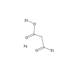 CCOC(=O)CC(=O)CC.[Fe]